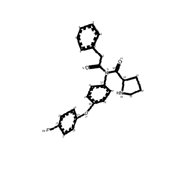 O=C(Cc1ccccc1)N(C(=O)C1CCCN1)c1ccc(Oc2ccc(F)cc2)cc1